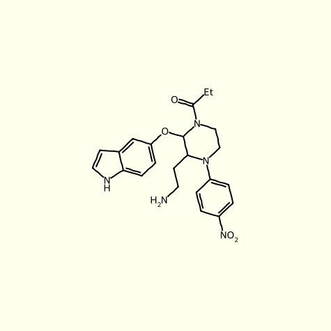 CCC(=O)N1CCN(c2ccc([N+](=O)[O-])cc2)C(CCN)C1Oc1ccc2[nH]ccc2c1